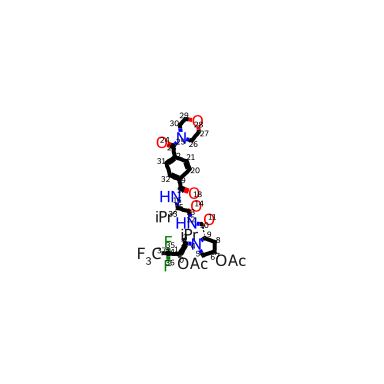 CC(=O)O/C(=C(/C(C)C)N1C[C@H](OC(C)=O)C[C@H]1C(=O)NC(=O)[C@@H](NC(=O)c1ccc(C(=O)N2CCOCC2)cc1)C(C)C)C(F)(F)C(F)(F)F